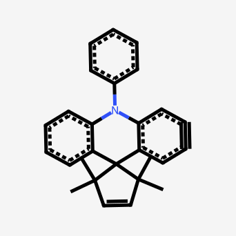 CC1(C)C=CC(C)(C)C12c1cc#ccc1N(c1ccccc1)c1ccccc12